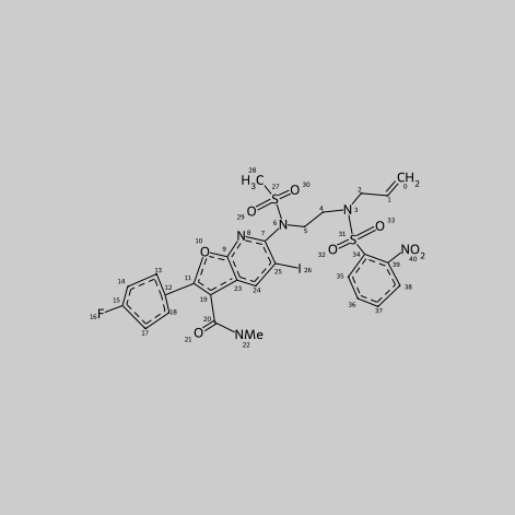 C=CCN(CCN(c1nc2oc(-c3ccc(F)cc3)c(C(=O)NC)c2cc1I)S(C)(=O)=O)S(=O)(=O)c1ccccc1[N+](=O)[O-]